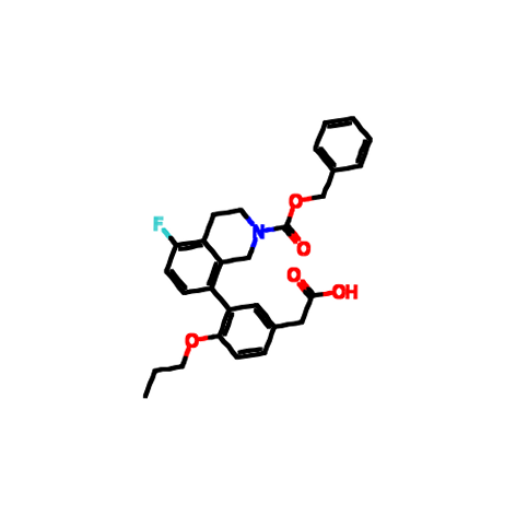 CCCOc1ccc(CC(=O)O)cc1-c1ccc(F)c2c1CN(C(=O)OCc1ccccc1)CC2